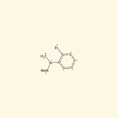 CCc1ccccc1N(C)NC